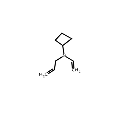 C=CCN(C=C)C1CCC1